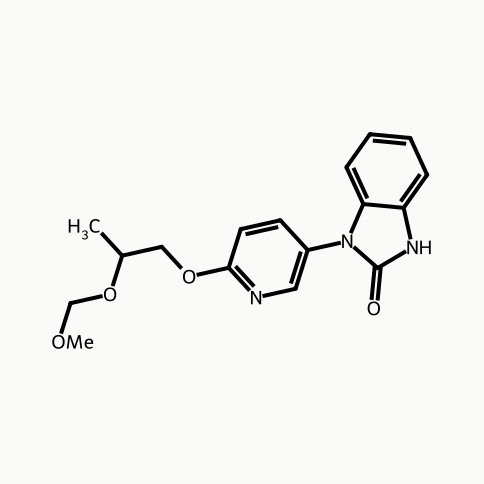 COCOC(C)COc1ccc(-n2c(=O)[nH]c3ccccc32)cn1